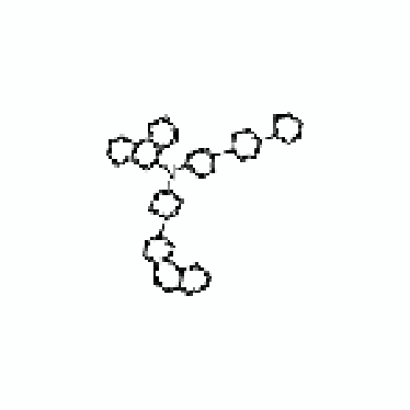 c1ccc(-c2ccc(-c3ccc(N(c4ccc(-c5ccc6ccc7ccccc7c6c5)cc4)c4cc5ccccc5c5ccccc45)cc3)cc2)cc1